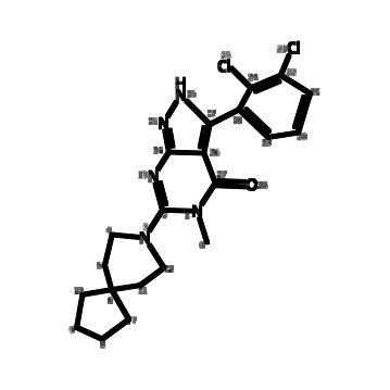 Cn1c(N2CCC3([CH]CCC3)CC2)nc2n[nH]c(-c3cccc(Cl)c3Cl)c2c1=O